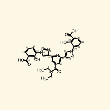 CCN(CC)C(=O)c1cc(-c2cn(-c3cccc(C(=O)O)c3O)nn2)nc(-c2cn(-c3cccc(C(=O)O)c3O)nn2)c1